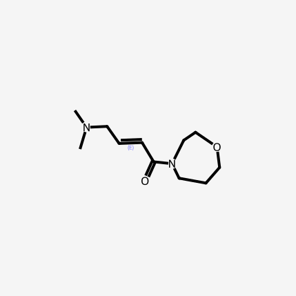 CN(C)C/C=C/C(=O)N1CCCOCC1